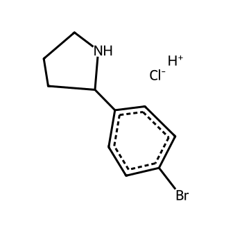 Brc1ccc(C2CCCN2)cc1.[Cl-].[H+]